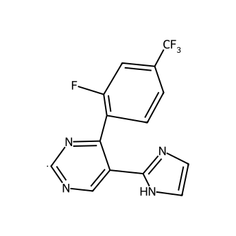 Fc1cc(C(F)(F)F)ccc1-c1n[c]ncc1-c1ncc[nH]1